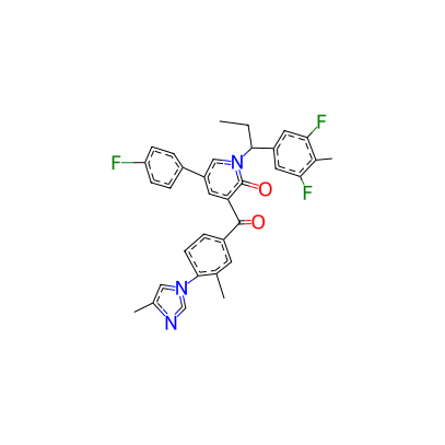 CCC(c1cc(F)c(C)c(F)c1)n1cc(-c2ccc(F)cc2)cc(C(=O)c2ccc(-n3cnc(C)c3)c(C)c2)c1=O